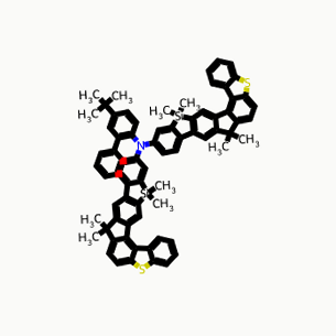 CC(C)(C)c1ccc(N(c2ccc3c(c2)[Si](C)(C)c2cc4c(cc2-3)C(C)(C)c2ccc3sc5ccccc5c3c2-4)c2ccc3c(c2)[Si](C)(C)c2cc4c(cc2-3)C(C)(C)c2ccc3sc5ccccc5c3c2-4)c(-c2ccccc2)c1